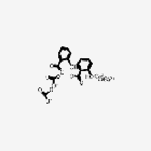 O=C([O-])[O-].O=C([O-])[O-].O=C([O-])c1ccccc1O.O=C([O-])c1ccccc1O.[Ca+2].[Ca+2].[Ca+2]